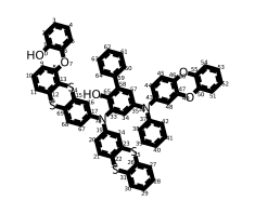 Oc1ccccc1Oc1cccc2c1Sc1cc(N(c3ccc4c(c3)Sc3ccccc3S4)c3cc(N(c4ccccc4)c4ccc5c(c4)Oc4ccccc4O5)cc(-c4ccccc4)c3O)ccc1S2